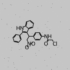 O=C(CCl)Nc1ccc(C(C[N+](=O)[O-])c2c(-c3ccccc3)[nH]c3ccccc23)cc1